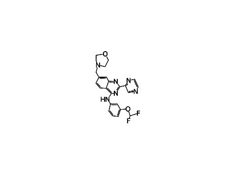 FC(F)Oc1cccc(Nc2nc(-c3cnccn3)nc3cc(CN4CCOCC4)ccc23)c1